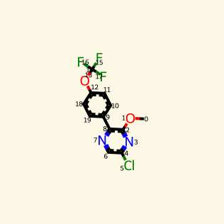 COc1nc(Cl)cnc1-c1ccc(OC(F)(F)F)cc1